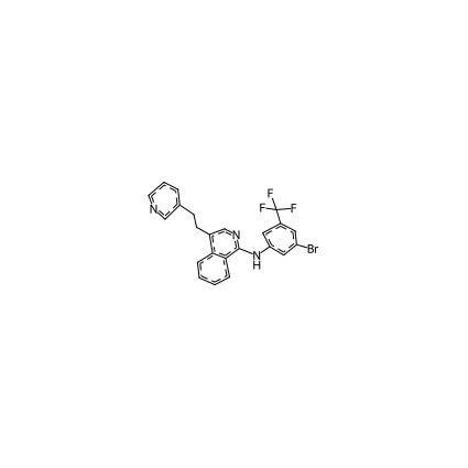 FC(F)(F)c1cc(Br)cc(Nc2ncc(CCc3cccnc3)c3ccccc23)c1